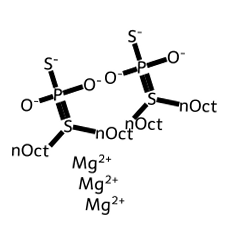 CCCCCCCCS(CCCCCCCC)=P([O-])([O-])[S-].CCCCCCCCS(CCCCCCCC)=P([O-])([O-])[S-].[Mg+2].[Mg+2].[Mg+2]